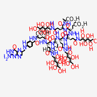 C[C@H](NC(=O)[C@H](CCC(=O)NC[C@H](O)[C@@H](O)[C@H](O)[C@H](O)CO)NC(=O)[C@H](CCC(=O)O)NC(=O)[C@H](CCC(=O)NC[C@H](O)[C@@H](O)[C@H](O)[C@H](O)CO)NC(=O)[C@H](CCC(=O)NC[C@H](O)[C@@H](O)[C@H](O)[C@H](O)CO)NC(=O)[C@H](CCC(=O)O)NC(=O)[C@H](CCC(=O)NC[C@H](O)[C@@H](O)[C@H](O)[C@H](O)CO)NC(=O)CC[C@H](NC(=O)c1ccc(NCc2cnc3nc(N)[nH]c(=O)c3n2)cc1)C(=O)O)C(=O)O